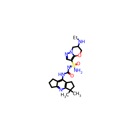 CCNC1COc2c(S(N)(=O)=NC(=O)Nc3c4c(nc5c3CCC5(C)C)CCC4)cnn2C1